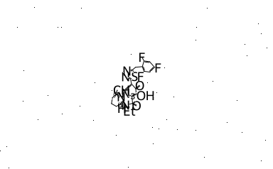 CCN1C(=O)c2c(O)c(=O)c(-c3nnc(Cc4c(F)cc(F)cc4F)s3)cn2N2[C@H](C)CCC[C@@H]12